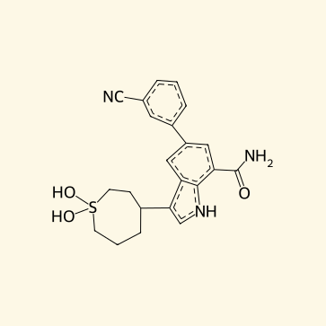 N#Cc1cccc(-c2cc(C(N)=O)c3[nH]cc(C4CCCS(O)(O)CC4)c3c2)c1